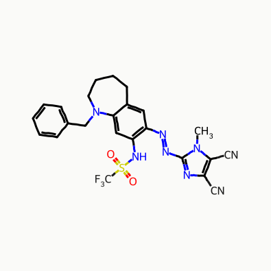 Cn1c(N=Nc2cc3c(cc2NS(=O)(=O)C(F)(F)F)N(Cc2ccccc2)CCCC3)nc(C#N)c1C#N